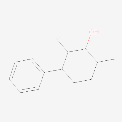 CC1CCC(c2ccccc2)C(C)C1O